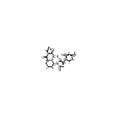 Cc1oncc1C(=O)N1CCCC(N2C=C(c3ccc(F)cc3F)ON2)C1